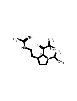 CC(C)C(=O)[C@@H]1C(CCNC(=N)N)CCN1C(C)C